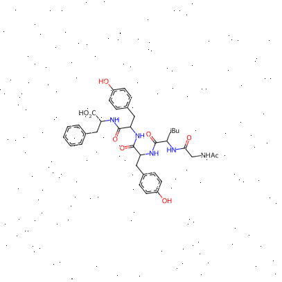 CCC(C)C(NC(=O)CNC(C)=O)C(=O)NC(Cc1ccc(O)cc1)C(=O)NC(Cc1ccc(O)cc1)C(=O)NC(Cc1ccccc1)C(=O)O